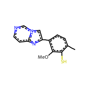 COc1c(-c2cn3cnccc3n2)ccc(C)c1S